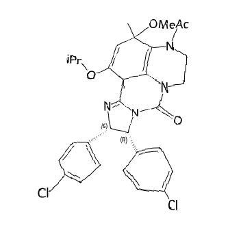 COC1(C)C=C(OC(C)C)C2(C)C3=N[C@@H](c4ccc(Cl)cc4)[C@@H](c4ccc(Cl)cc4)N3C(=O)N3CCN(C(C)=O)C1=C32